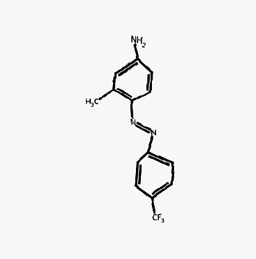 Cc1cc(N)ccc1N=Nc1ccc(C(F)(F)F)cc1